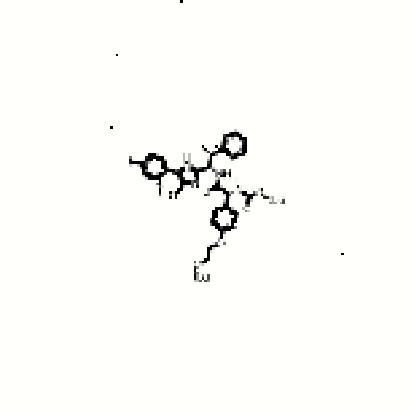 C[C@@H](c1ccccc1)[C@H](NC(=O)[C@H](NC(=O)OC(C)(C)C)c1ccc(OCCOC(C)(C)C)cc1)c1nc(Cl)c(-c2ccc(I)cc2F)[nH]1